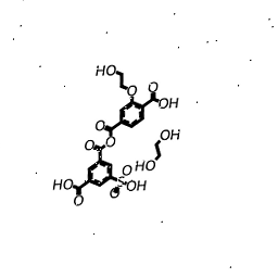 O=C(O)c1cc(C(=O)OC(=O)c2ccc(C(=O)O)c(OCCO)c2)cc(S(=O)(=O)O)c1.OCCO